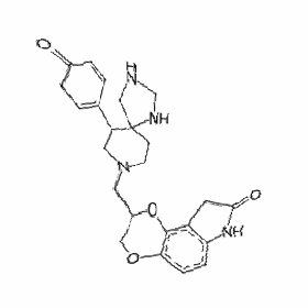 O=C1C=CC(C2CN(CC3COc4ccc5c(c4O3)CC(=O)N5)CCC23CNCN3)=CC1